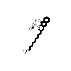 CCCCCCCCCCCCc1cc2ccccc2c(O)c1O.O=CO